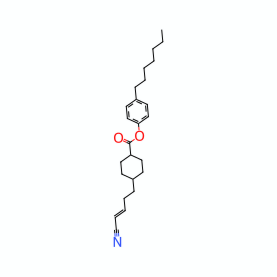 CCCCCCCc1ccc(OC(=O)C2CCC(CC/C=C/C#N)CC2)cc1